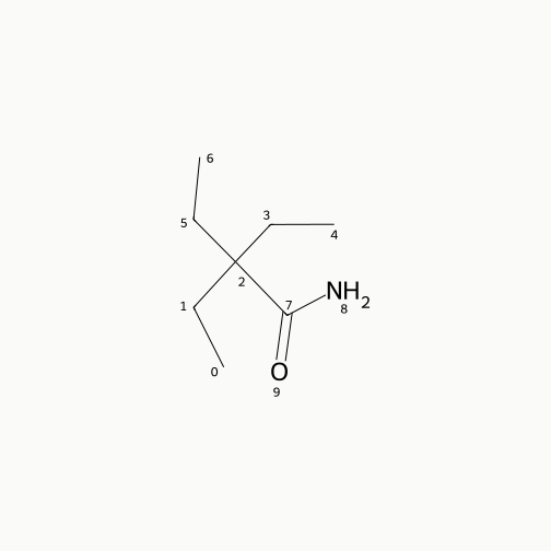 CCC(CC)(CC)C(N)=O